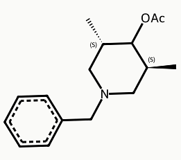 CC(=O)OC1[C@@H](C)CN(Cc2ccccc2)C[C@@H]1C